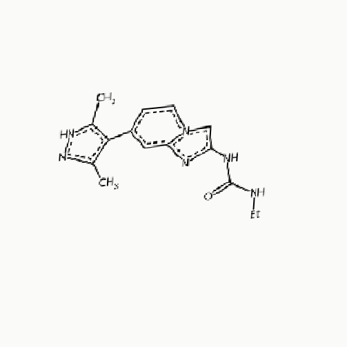 CCNC(=O)Nc1cn2ccc(-c3c(C)n[nH]c3C)cc2n1